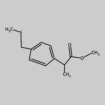 COC(=O)C(C)c1ccc(CSC)cc1